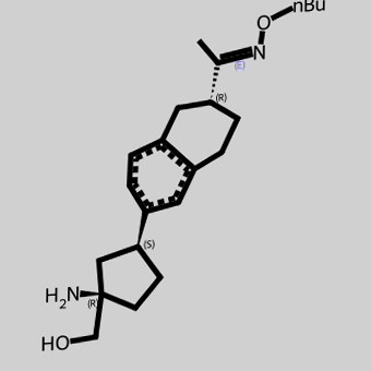 CCCCO/N=C(\C)[C@@H]1CCc2cc([C@H]3CC[C@](N)(CO)C3)ccc2C1